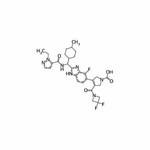 CCn1nccc1C(=O)NC(c1nc2c(F)c(C3=C(C(=O)N4CC(F)(F)C4)CN(C(=O)O)C3)ccc2[nH]1)C1CCC(C)CC1